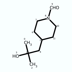 CC(C)(O)CC1CCN(C=O)CC1